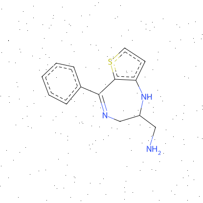 NCC1CN=C(c2ccccc2)c2sccc2N1